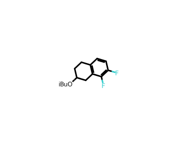 CC(C)COC1CCc2ccc(F)c(F)c2C1